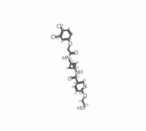 O=C(COc1ccc(Cl)c(Cl)c1)NC12CC(NC(=O)c3ccc(OCCO)nc3)(C1)C2